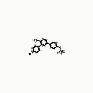 Nc1ncc(-c2ccc(C[SH](=O)=O)cc2)cc1-c1ccc(O)cc1